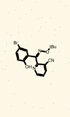 CC(C)(C)ON=C(c1cc(Br)ccc1O)c1ncccc1C#N